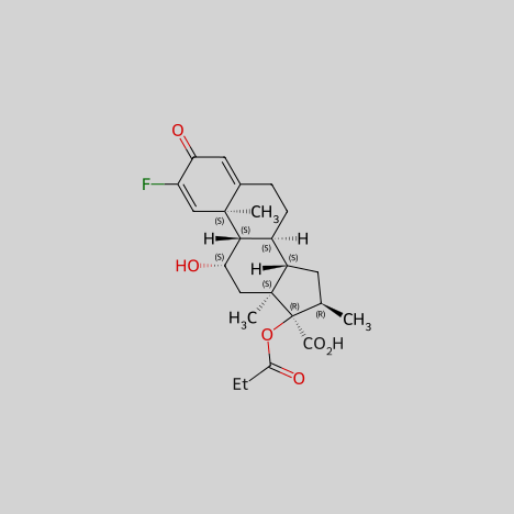 CCC(=O)O[C@]1(C(=O)O)[C@H](C)C[C@H]2[C@@H]3CCC4=CC(=O)C(F)=C[C@]4(C)[C@H]3[C@@H](O)C[C@@]21C